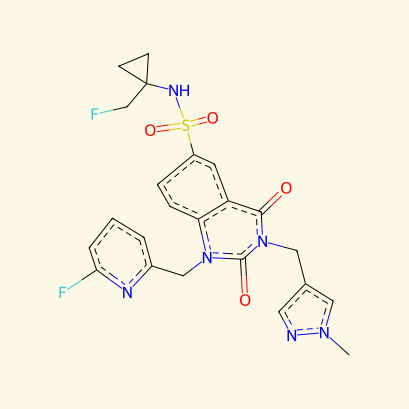 Cn1cc(Cn2c(=O)c3cc(S(=O)(=O)NC4(CF)CC4)ccc3n(Cc3cccc(F)n3)c2=O)cn1